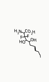 NC(C(=O)O)C(F)(F)C(O)C(O)C/C=C/CI